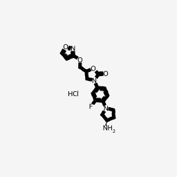 Cl.N[C@H]1CCN(c2ccc(N3CC(COc4ccon4)OC3=O)cc2F)C1